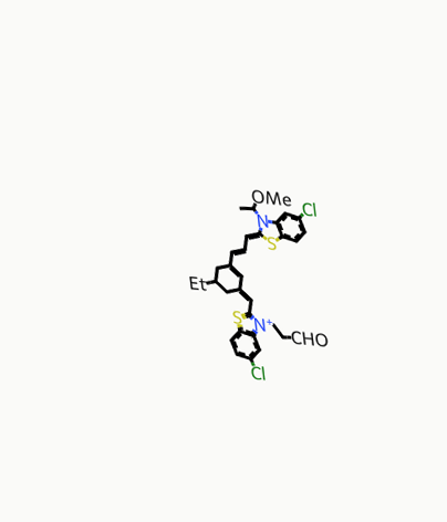 CCC1CC(/C=C/C=C2\Sc3ccc(Cl)cc3N2C(C)OC)=CC(=C/c2sc3ccc(Cl)cc3[n+]2CCC=O)/C1